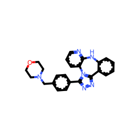 c1ccc2c(c1)Nc1ncccc1-n1c(-c3ccc(CN4CCOCC4)cc3)nnc1-2